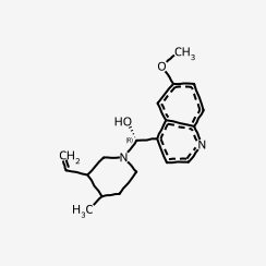 C=CC1CN([C@H](O)c2ccnc3ccc(OC)cc23)CCC1C